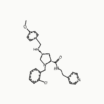 COc1ccc(CN[C@H]2C[C@@H](C(=O)NCCc3ccncc3)N(Cc3ccccc3Cl)C2)cc1